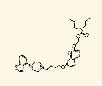 CCCN(CCC)C(=O)OCOc1ccc2ccc(OCCCCN3CCN(c4cccc5sccc45)CC3)cc2n1